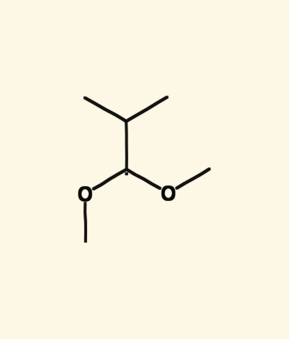 CO[C](OC)C(C)C